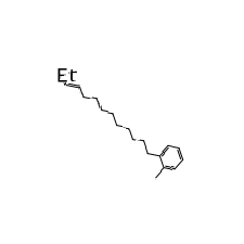 CCC=CCCCCCCCCCc1ccccc1C